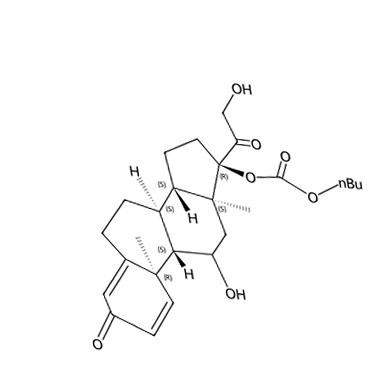 CCCCOC(=O)O[C@]1(C(=O)CO)CC[C@H]2[C@@H]3CCC4=CC(=O)C=C[C@]4(C)[C@H]3C(O)C[C@@]21C